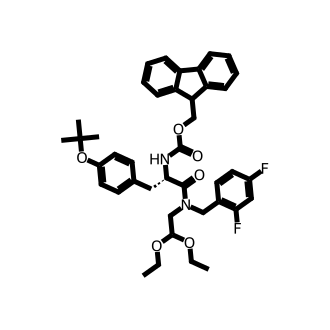 CCOC(CN(Cc1ccc(F)cc1F)C(=O)[C@H](Cc1ccc(OC(C)(C)C)cc1)NC(=O)OCC1c2ccccc2-c2ccccc21)OCC